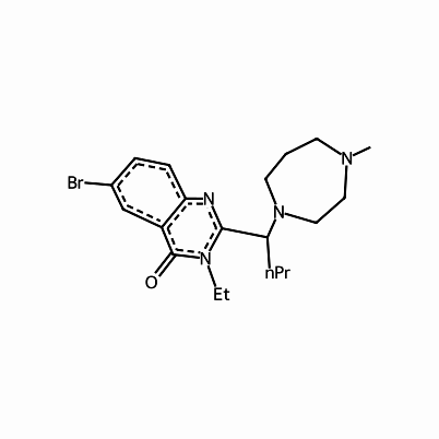 CCCC(c1nc2ccc(Br)cc2c(=O)n1CC)N1CCCN(C)CC1